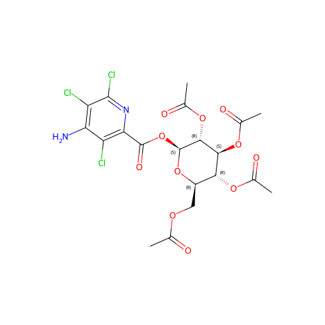 CC(=O)OC[C@H]1O[C@@H](OC(=O)c2nc(Cl)c(Cl)c(N)c2Cl)[C@H](OC(C)=O)[C@@H](OC(C)=O)[C@@H]1OC(C)=O